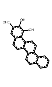 O=Cc1cc2ccc3c4ccc5ccccc5c4ccc3c2c(O)c1O